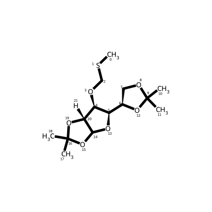 CSCO[C@H]1[C@@H]([C@H]2COC(C)(C)O2)OC2OC(C)(C)O[C@@H]21